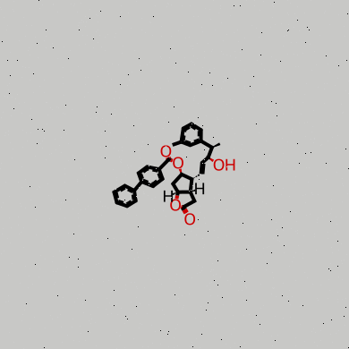 Cc1cccc([C@@H](C)[C@@H](O)/C=C/[C@@H]2[C@H]3CC(=O)O[C@H]3C[C@H]2OC(=O)c2ccc(-c3ccccc3)cc2)c1